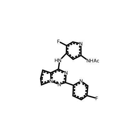 CC(=O)Nc1cc(Nc2nc(-c3ccc(F)cn3)nn3cccc23)c(F)cn1